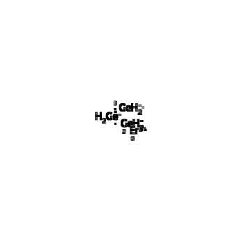 [Er+3].[GeH2-].[GeH2-].[GeH2-]